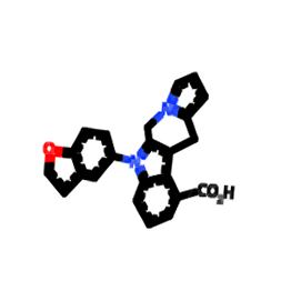 O=C(O)c1cccc2c1c1c(n2-c2ccc3occc3c2)Cn2cccc2C1